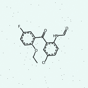 CCOc1ccc(F)cc1C(=O)c1cc(Cl)ccc1NC=O